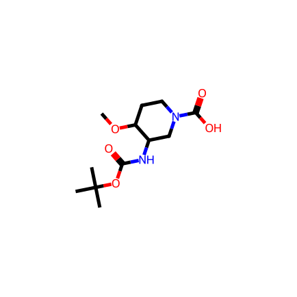 COC1CCN(C(=O)O)CC1NC(=O)OC(C)(C)C